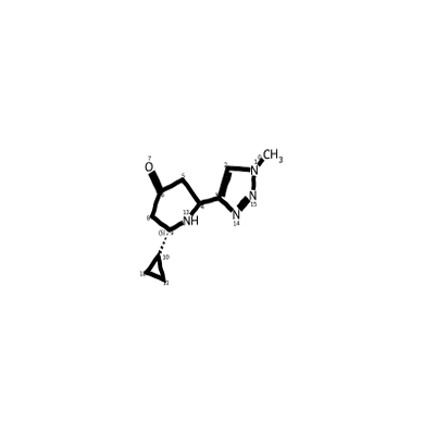 Cn1cc(C2CC(=O)C[C@@H](C3CC3)N2)nn1